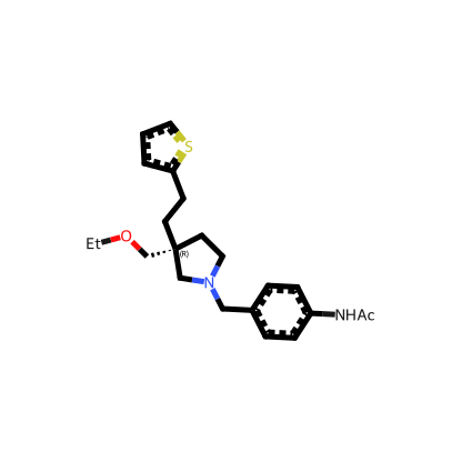 CCOC[C@]1(CCc2cccs2)CCN(Cc2ccc(NC(C)=O)cc2)C1